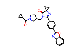 O=C(C1CC1)N1CCC(CN2C(=O)C3(CC3)N=C2c2ccc(-c3nc4ccccc4o3)cc2)C1